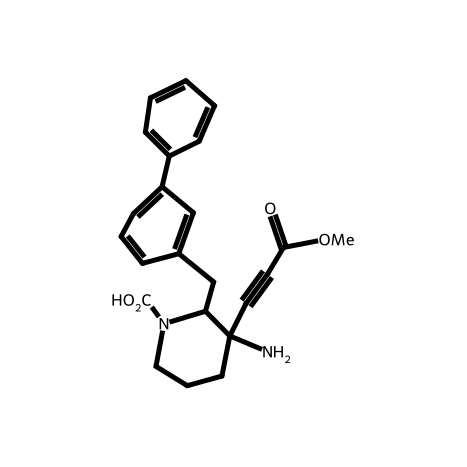 COC(=O)C#CC1(N)CCCN(C(=O)O)C1Cc1cccc(-c2ccccc2)c1